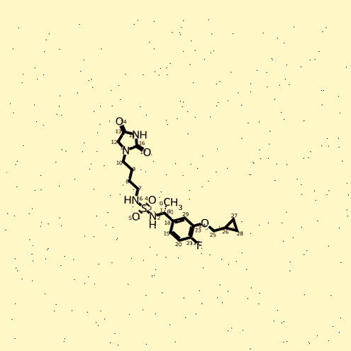 C[C@@H](NS(=O)(=O)NCCCCN1CC(=O)NC1=O)c1ccc(F)c(OCC2CC2)c1